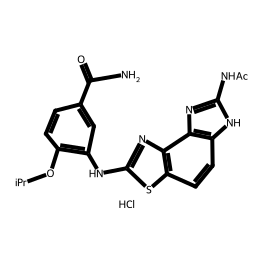 CC(=O)Nc1nc2c(ccc3sc(Nc4cc(C(N)=O)ccc4OC(C)C)nc32)[nH]1.Cl